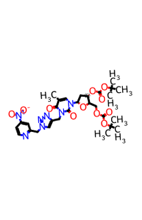 Cc1cn(C2C[C@H](OC(=O)OC(C)(C)C)C(COC(=O)OC(C)(C)C)O2)c(=O)n(Cc2cn(Cc3cc([N+](=O)[O-])ccn3)nn2)c1=O